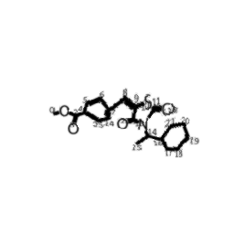 COC(=O)c1ccc(C=C2SC(=O)N(C(C)C3CCCCC3)C2=O)cc1